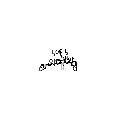 CN(C)CCOc1nnc(-c2cc(Cl)ccc2F)cc1Nc1ccnc(NC(=O)CCN2CCOCC2)c1